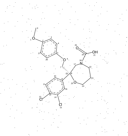 COc1ccc(OC[C@]2(c3ccc(Cl)c(Cl)c3)CN(C(=O)O)CCCO2)cc1